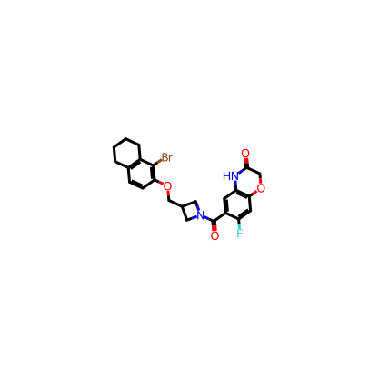 O=C1COc2cc(F)c(C(=O)N3CC(COc4ccc5c(c4Br)CCCC5)C3)cc2N1